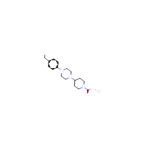 CC(C)(C)OC(=O)N1CCC(N2CCN(c3ccc(CC(=O)O)cc3)CC2)CC1